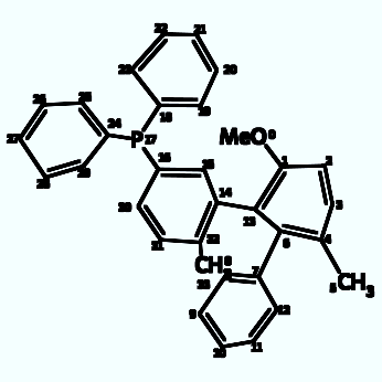 COc1ccc(C)c(-c2ccccc2)c1-c1cc(P(c2ccccc2)c2ccccc2)ccc1C